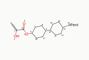 C=C(O)C(=O)OC1CCC(C2CCC(CCCCC)CC2)CC1